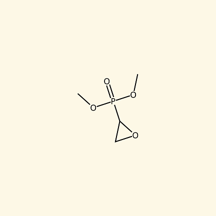 COP(=O)(OC)C1CO1